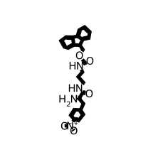 N[C@@H](Cc1ccc([N+](=O)[O-])cc1)C(=O)NCCCNC(=O)OCC1c2ccccc2-c2ccccc21